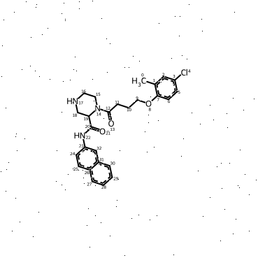 Cc1cc(Cl)ccc1OCCCC(=O)N1CCNCC1C(=O)Nc1ccc2ccccc2c1